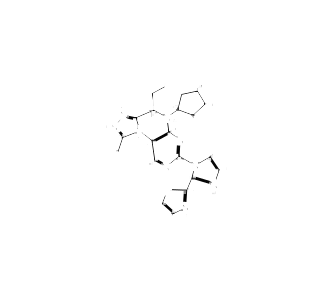 CC[C@@H]1c2nnc(C)n2-c2cnc(-n3ccnc3-c3nccs3)nc2N1C1CCCC1